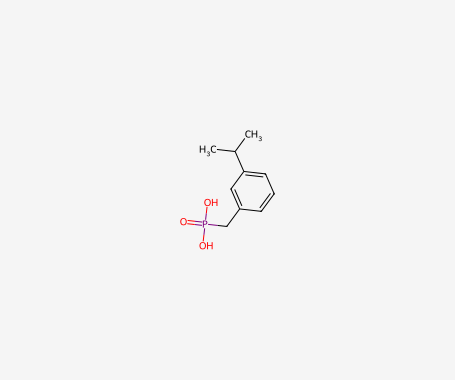 CC(C)c1cccc(CP(=O)(O)O)c1